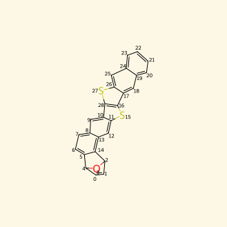 C1=CC2OC1c1ccc3cc4c(cc3c12)sc1c2cc3ccccc3cc2sc41